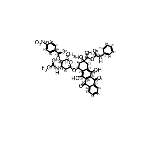 C[C@H]1O[C@@H](O[C@H]2CC(O)([C@@H](C)OC(=O)Nc3ccccc3)Cc3c(O)c4c(c(O)c32)C(=O)c2ccccc2C4=O)C[C@H](NC(=O)C(F)(F)F)[C@H]1OC(=O)c1ccc([N+](=O)[O-])cc1